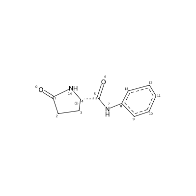 O=C1CC[C@@H](C(=O)Nc2ccccc2)N1